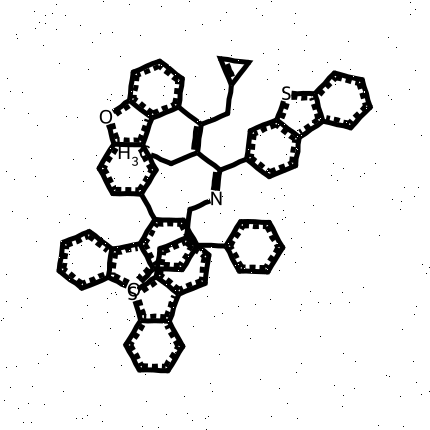 CCC(/C(=N\Cc1ccc2c(c1)sc1ccccc12)c1ccc2c(c1)sc1ccccc12)=C(/CC1=CC1)c1cccc2oc3ccc(-c4cc(-c5ccccc5)cc5oc6ccccc6c45)cc3c12